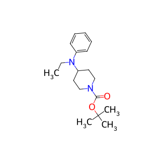 CCN(c1ccccc1)C1CCN(C(=O)OC(C)(C)C)CC1